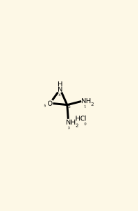 Cl.NC1(N)NO1